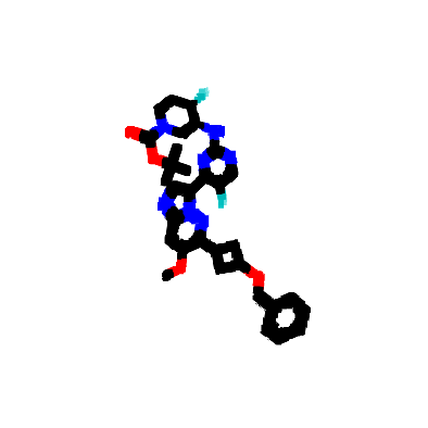 COc1cc2ncc(-c3nc(N[C@H]4CN(C(=O)OC(C)(C)C)CC[C@@H]4F)ncc3F)n2nc1C1CC(OCc2ccccc2)C1